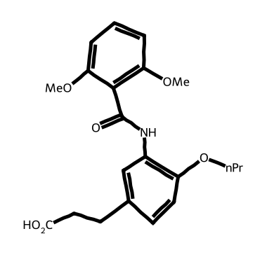 CCCOc1ccc(CCC(=O)O)cc1NC(=O)c1c(OC)cccc1OC